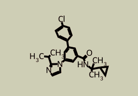 CC(C)c1nccn1-c1cc(C(=O)NC(C)(C)C2CC2)cc(-c2ccc(Cl)cc2)c1